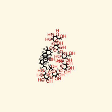 C[C@H](CC[C@@H](O[C@@H]1O[C@H](CO[C@@H]2O[C@H](CO)[C@@H](O)[C@H](O)[C@H]2O)[C@@H](O)[C@H](O)[C@H]1O[C@@H]1O[C@H](CO)[C@@H](O)[C@H](O)[C@H]1O)C(C)(C)O)[C@H]1CC[C@@]2(C)[C@H]3CC=C4[C@@H](CC[C@H](OC5O[C@H](CO[C@@H]6O[C@H](CO)[C@@H](O)[C@H](O)[C@H]6O)[C@@H](O)[C@H](O)[C@H]5O[C@@H]5O[C@H](CO)[C@@H](O)[C@H](O)[C@H]5O)C4(C)C)[C@]3(C)[C@H](O)C[C@]12C